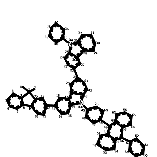 CC1(C)c2ccccc2-c2ccc(-c3ccc4c(c3)c3cc(-c5ccc6c(c5)c5ccccc5n6-c5ccccc5)ccc3n4-c3ccc(-c4c5ccccc5c(-c5ccccc5)c5ccccc45)cc3)cc21